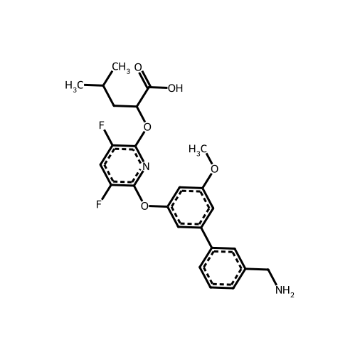 COc1cc(Oc2nc(OC(CC(C)C)C(=O)O)c(F)cc2F)cc(-c2cccc(CN)c2)c1